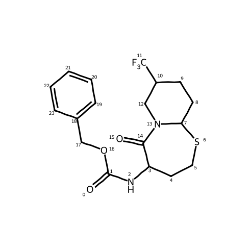 O=C(NC1CCSC2CCC(C(F)(F)F)CN2C1=O)OCc1ccccc1